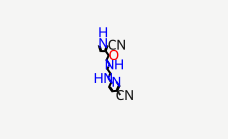 N#Cc1ccc(NCCNCC(=O)c2cc[nH]c2C#N)nc1